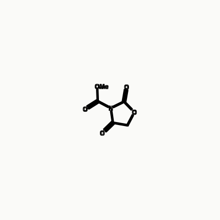 COC(=O)N1C(=O)COC1=O